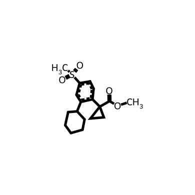 COC(=O)C1(c2ccc(S(C)(=O)=O)cc2C2CCCCC2)CC1